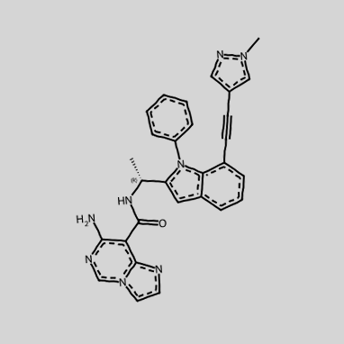 C[C@@H](NC(=O)c1c(N)ncn2ccnc12)c1cc2cccc(C#Cc3cnn(C)c3)c2n1-c1ccccc1